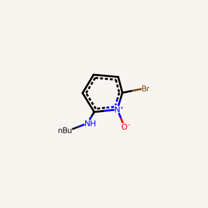 CCCCNc1cccc(Br)[n+]1[O-]